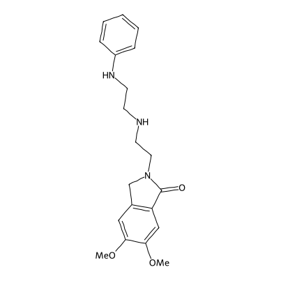 COc1cc2c(cc1OC)C(=O)N(CCNCCNc1ccccc1)C2